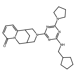 O=c1cccc2n1CC1CC2CN(c2nc(NCC3CCCC3)nc(N3CCCC3)n2)C1